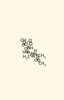 CCOC(=O)OC[C@@H](CC)Nc1ncc(C)c(-c2c[nH]c(C(=O)N[C@H](COC(=O)OCC)c3cccc(Cl)c3)c2)n1